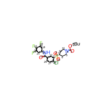 CC(C)(C)OC(=O)N1CCC(S(=O)(=O)c2cc(C(=O)Nc3cc(F)c(F)c(F)c3)ccc2Cl)CC1